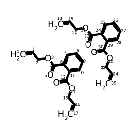 C=CCOC(=O)c1ccccc1C(=O)OCC=C.C=CCOC(=O)c1ccccc1C(=O)OCC=C